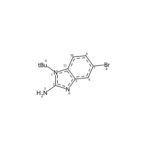 CC(C)(C)n1c(N)nc2cc(Br)ccc21